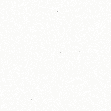 N#Cc1ccc(Nc2ncc3cc(F)cc(Br)c3n2)cc1